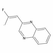 [CH2]/C(F)=C\c1cnc2ccccc2n1